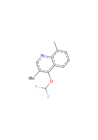 Cc1cccc2c(OC(F)F)c(C(C)(C)C)cnc12